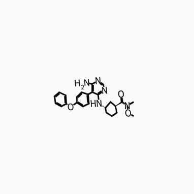 CON(C)C(=O)[C@H]1CCC[C@H](Nc2ncnc(N)c2-c2ccc(Oc3ccccc3)cc2)C1